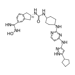 N=C(NO)c1ccc2c(c1)C[C@@H](NC(=O)NC1CCC(Nc3nccc(Nc4cc(C5CCCC5)[nH]n4)n3)CC1)C2